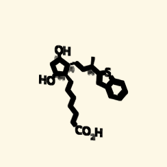 C[C@H](CC[C@@H]1[C@@H](CCCCCCC(=O)O)[C@@H](O)C[C@H]1O)c1cc2ccccc2s1